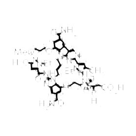 CCn1nc(C)cc1C(=O)Nc1nc2cc(C(N)=O)cc(OCCCNS(=O)(=O)C(C)CC(=O)O)c2n1CC=CCn1c2nc(-c3cc(C)nn3CC)ncc2c2cc(C(N)=O)cc(OCCCOC)c21